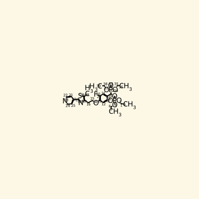 CCOP(=O)(OCC)OC(c1ccc(OCCc2nc(-c3ccncc3)sc2C)c(F)c1)P(=O)(OCC)OCC